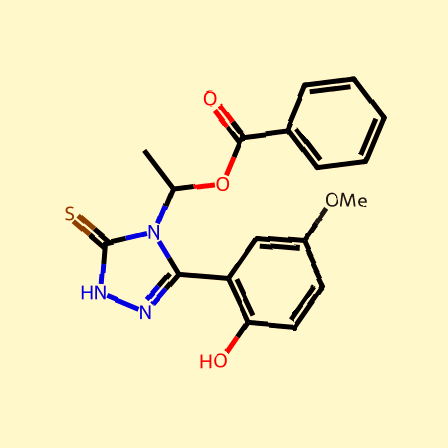 COc1ccc(O)c(-c2n[nH]c(=S)n2C(C)OC(=O)c2ccccc2)c1